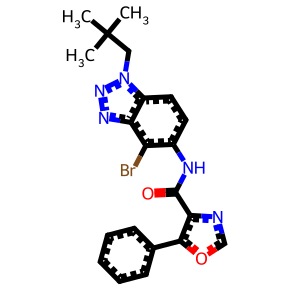 CC(C)(C)Cn1nnc2c(Br)c(NC(=O)c3ncoc3-c3ccccc3)ccc21